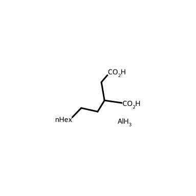 CCCCCCCCC(CC(=O)O)C(=O)O.[AlH3]